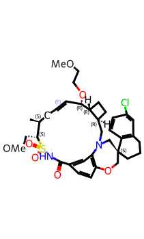 COCCO[C@H]1/C=C/C[C@H](C)[C@@H](COC)S(=O)(=O)NC(=O)c2ccc3c(c2)N(C[C@@H]2CC[C@H]21)C[C@@]1(CCCc2cc(Cl)ccc21)CO3